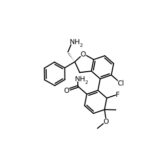 COC1(C)C=CC(C(N)=O)=C(c2c(Cl)ccc3c2C[C@@](CN)(c2ccccc2)O3)C1F